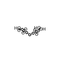 O=C(O)c1ccc2c(c1)C(=O)C(c1ccc(-c3cccc(-c4ccc(C5C(=O)c6ccc(C(O)O)cc6C5=O)cc4)c3)cc1)C2=O